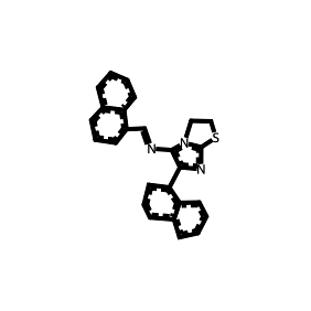 C(=N\c1c(-c2cccc3ccccc23)nc2n1CCS2)/c1cccc2ccccc12